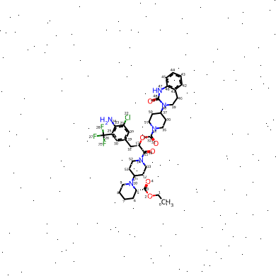 CCOC(=O)[C@@H]1CCCCN1C1CCN(C(=O)[C@@H](Cc2cc(Cl)c(N)c(C(F)(F)F)c2)OC(=O)N2CCC(N3CCc4ccccc4NC3=O)CC2)CC1